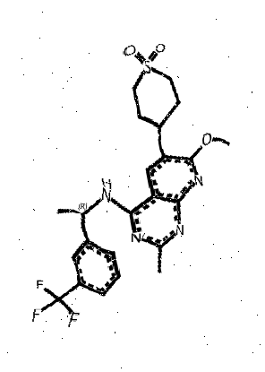 COc1nc2nc(C)nc(N[C@H](C)c3cccc(C(F)(F)F)c3)c2cc1C1CCS(=O)(=O)CC1